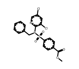 COC(=O)c1ccc(S(=O)(=O)N(Cc2ccccc2)c2ncc(Cl)cc2Cl)cc1